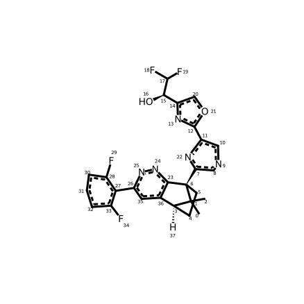 CC1(C)[C@H]2CC[C@@]1(c1cncc(-c3nc([C@@H](O)C(F)F)co3)n1)c1nnc(-c3c(F)cccc3F)cc12